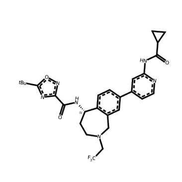 CC(C)(C)c1nc(C(=O)N[C@H]2CCN(CC(F)(F)F)Cc3cc(-c4ccnc(NC(=O)C5CC5)c4)ccc32)no1